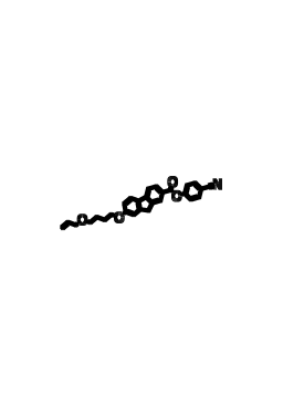 C=CCOCCCCOc1ccc2c(c1)Cc1cc(C(=O)Oc3ccc(C#N)cc3)ccc1-2